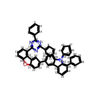 c1ccc(-c2nc(-c3ccccc3)nc(-c3cccc4oc5ccc(-c6ccc7c(c6)c6cccc(-c8ccccc8)c6n7-c6ccccc6)cc5c34)n2)cc1